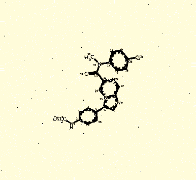 CCOC(=O)Nc1ccc(-c2cnc3cnc(C(=O)N(C)c4ccc(Cl)cc4)cn23)cc1